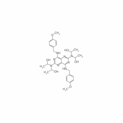 COc1ccc(CNc2nc(N(C(C)O)C(C)O)nc3c(NCc4ccc(OC)cc4)nc(N(C(C)O)C(C)O)nc23)cc1